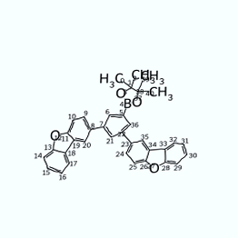 CC1(C)OB(c2cc(-c3ccc4oc5ccccc5c4c3)cc(-c3ccc4oc5ccccc5c4c3)c2)OC1(C)C